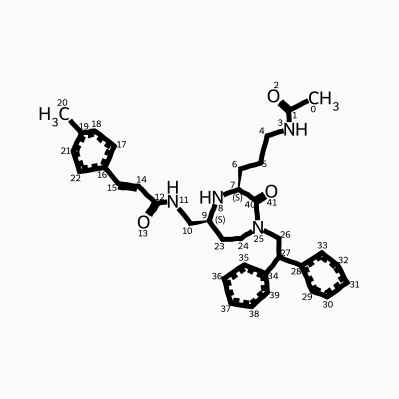 CC(=O)NCCC[C@@H]1N[C@H](CNC(=O)C=Cc2ccc(C)cc2)CCN(CC(c2ccccc2)c2ccccc2)C1=O